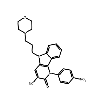 N#Cc1cc2c(c3ccccc3n2CCCN2CCOCC2)n(-c2ccc([N+](=O)[O-])cc2)c1=O